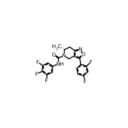 C[C@@H]1Cc2noc(-c3ccc(F)cc3F)c2CN1C(=O)Nc1cc(F)c(F)c(F)c1